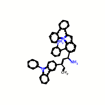 C=C/C(=C\C(N)c1ccc2cc3c4ccccc4c4ccccc4n3c2c1-c1ccccc1N)c1ccc2c(c1)c1ccccc1n2-c1ccccc1